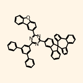 c1ccc(-c2cc(-c3ccccc3)cc(-c3nc(-c4ccc5c(c4)-c4ccccc4C54c5ccccc5-c5ccccc5-c5ccccc54)nc(-c4ccc5oc6ccccc6c5c4)n3)c2)cc1